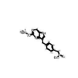 CCCCOc1ncc2[nH]cc(Cc3ccc(CN(CC)CC)cc3)c2n1